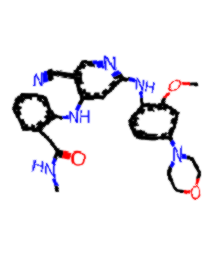 CNC(=O)c1ccccc1Nc1cc(Nc2ccc(N3CCOCC3)cc2OC)ncc1C#N